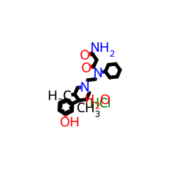 CC1CN(CCN(C(=O)CC(N)=O)C2CCCCC2)CCC1(C)c1cccc(O)c1.Cl.O